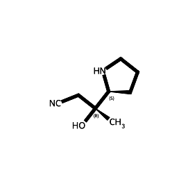 C[C@@](O)(CC#N)[C@@H]1CCCN1